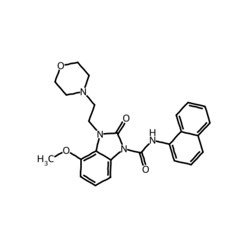 COc1cccc2c1n(CCN1CCOCC1)c(=O)n2C(=O)Nc1cccc2ccccc12